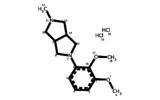 COc1cccc(N2CC3CN(C)CC3C2)c1OC.Cl.Cl